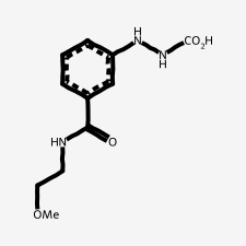 COCCNC(=O)c1cccc(NNC(=O)O)c1